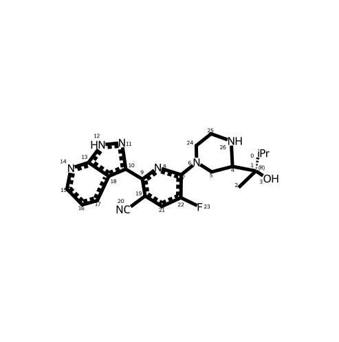 CC(C)[C@@](C)(O)C1CN(c2nc(-c3n[nH]c4ncccc34)c(C#N)cc2F)CCN1